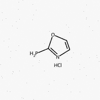 Cl.Pc1ncco1